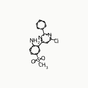 CS(=O)(=O)c1ccc(N)c(-c2cc(Cl)nc(-c3ccccc3)n2)c1